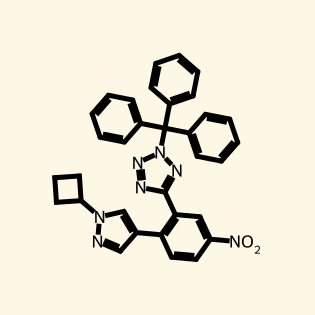 O=[N+]([O-])c1ccc(-c2cnn(C3CCC3)c2)c(-c2nnn(C(c3ccccc3)(c3ccccc3)c3ccccc3)n2)c1